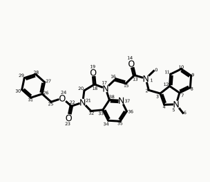 CN(Cc1cn(C)c2ccccc12)C(=O)C=CN1C(=O)CN(C(=O)OCc2ccccc2)Cc2cccnc21